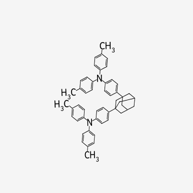 Cc1ccc(N(c2ccc(C)cc2)c2ccc(C34CC5CC(C3)CC(c3ccc(N(c6ccc(C)cc6)c6ccc(C)cc6)cc3)(C5)C4)cc2)cc1